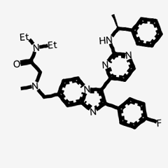 CCN(CC)C(=O)CN(C)Cc1ccn2c(-c3ccnc(N[C@@H](C)c4ccccc4)n3)c(-c3ccc(F)cc3)nc2c1